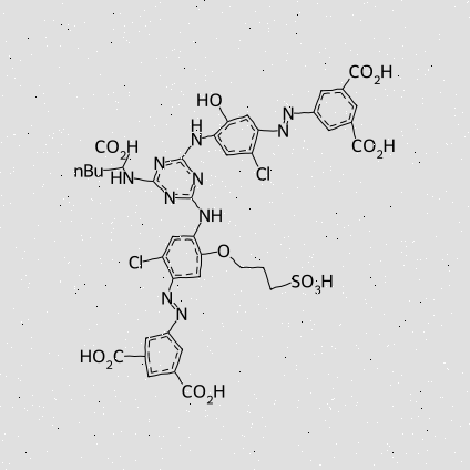 CCCCC(Nc1nc(Nc2cc(Cl)c(N=Nc3cc(C(=O)O)cc(C(=O)O)c3)cc2O)nc(Nc2cc(Cl)c(N=Nc3cc(C(=O)O)cc(C(=O)O)c3)cc2OCCCS(=O)(=O)O)n1)C(=O)O